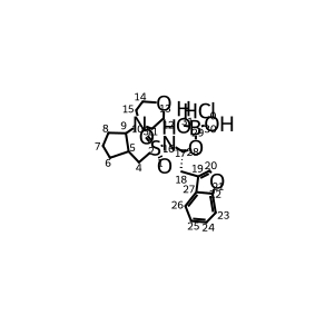 Cl.O=S(=O)(CC1CCCC1N1CCOCC1)N[C@@H](Cc1coc2ccccc12)OB(O)O